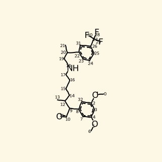 COc1cc(OC)cc(C(C=O)C(C)CCCCNCC(C)c2cccc(C(F)(F)F)c2)c1